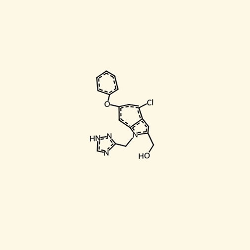 OCc1cc2c(Cl)cc(Oc3ccccc3)cc2n1Cc1nc[nH]n1